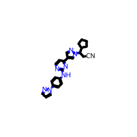 N#CCC(C1CCCC1)n1cc(-c2ccnc(Nc3ccc(-n4cccn4)cc3)n2)cn1